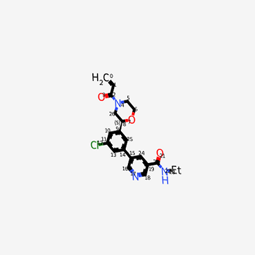 C=CC(=O)N1CCO[C@@H](c2cc(Cl)cc(-c3cncc(C(=O)NCC)c3)c2)C1